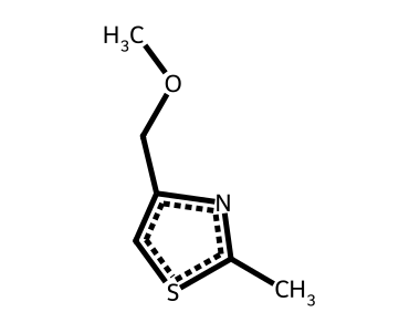 COCc1csc(C)n1